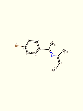 C/C=C(C)\N=C(/C)c1ccc(Br)cc1